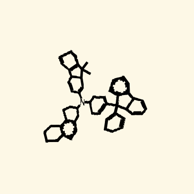 CC1(C)C2=C(C=CCC2)C2C=CC(N(C3CC=C(C4(C5=CCCC=C5)c5ccccc5C5C=CC=CC54)CC3)C3CCc4c(ccc5c4CCCC5)C3)=CC21